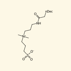 CCCCCCCCCCCC(=O)NCCC[N+](C)(C)CCCS(=O)(=O)[O-]